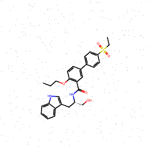 CCCOc1ccc(-c2ccc(S(=O)(=O)CC)cc2)cc1C(=O)N[C@H](CO)Cc1c[nH]c2ccccc12